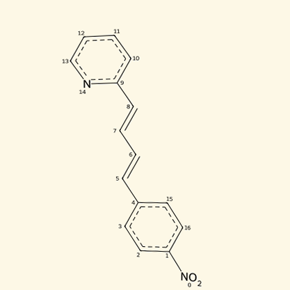 O=[N+]([O-])c1ccc(/C=C/C=C/c2ccccn2)cc1